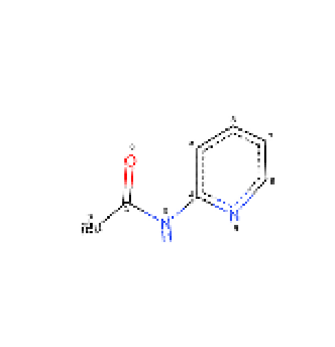 CCC(C)C(=O)Nc1ccccn1